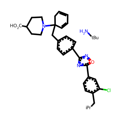 CC(C)(C)N.CC(C)Cc1ccc(-c2nc(-c3ccc(CC4(N5CCC(C(=O)O)CC5)C=CC=CC4)cc3)no2)cc1Cl